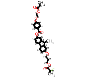 C=CC(=O)OCCOc1ccc(C(=O)Oc2ccc3c(c2)C(C)c2cc(OCCCOC(=O)C(=C)F)ccc2-3)cc1